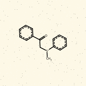 C[S+](CC(=O)c1ccccc1)c1ccccc1